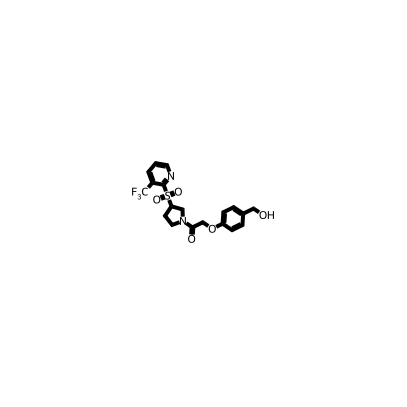 O=C(COc1ccc(CO)cc1)N1CCC(S(=O)(=O)c2ncccc2C(F)(F)F)C1